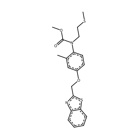 COC(=O)N(CCSC)c1ccc(OCc2nc3ccccc3s2)cc1C